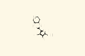 Cc1[nH]c(C(=O)N[C@@H]2CCNC[C@H]2F)c(Cl)c1Br